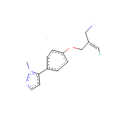 Cl.Cn1nccc1-c1ccc(OC/C(=C\F)CN)cc1